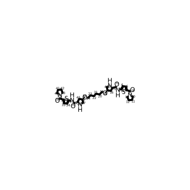 O=C(Nc1ccc(C(=O)N2CCCC2)s1)C1C[C@@H](OCCCCCCO[C@H]2CN[C@H](C(=O)Nc3ccc(C(=O)N4CCCC4)s3)C2)CN1